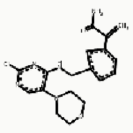 C=C(C(N)=O)c1cccc(CNc2nc(Cl)ncc2N2CCOCC2)c1